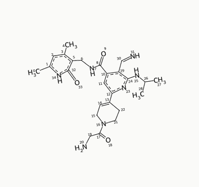 Cc1cc(C)c(CNC(=O)c2cc(C3=CCN(C(=O)CN)CC3)nc(NC(C)C)c2C=N)c(=O)[nH]1